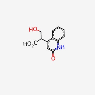 O=C(O)C(CO)c1cc(=O)[nH]c2ccccc12